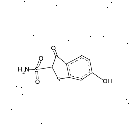 NS(=O)(=O)C1Sc2cc(O)ccc2C1=O